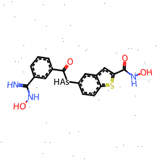 N=C(NO)c1cccc(C(=O)[AsH]c2ccc3sc(C(=O)NO)cc3c2)c1